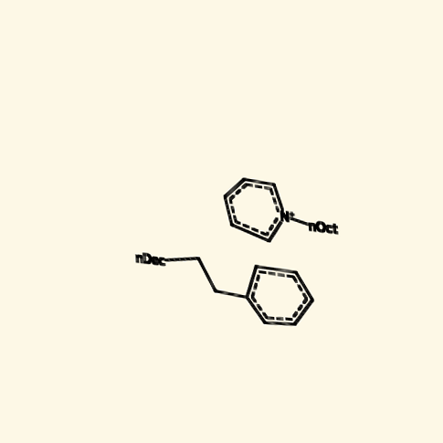 CCCCCCCCCCCCc1ccccc1.CCCCCCCC[n+]1ccccc1